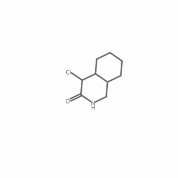 O=C1NCC2CCCCC2C1Cl